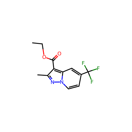 CCOC(=O)c1c(C)nn2ccc(C(F)(F)F)cc12